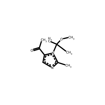 COC(C)(C)n1c(C(C)=O)cnc1C